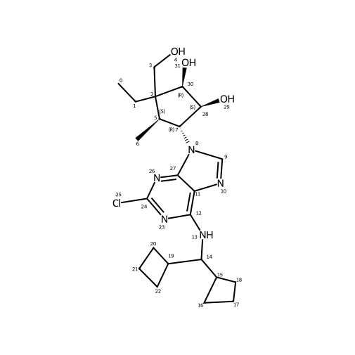 CCC1(CO)[C@H](C)[C@@H](n2cnc3c(NC(C4CCC4)C4CCC4)nc(Cl)nc32)[C@H](O)[C@@H]1O